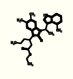 CCCC(CC(=O)OCC)n1c(=O)n(C(C)c2c[nH]c3cccc(C)c23)c2cc(C)c(C)cc21